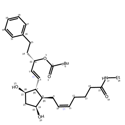 CCCCC(=O)O[C@H](/C=C/[C@@H]1[C@@H](C/C=C\CCCC(=O)NCC)[C@@H](O)C[C@H]1O)CCc1ccccc1